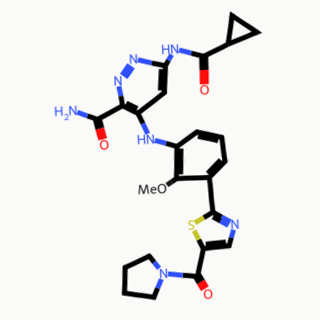 COc1c(Nc2cc(NC(=O)C3CC3)nnc2C(N)=O)cccc1-c1ncc(C(=O)N2CCCC2)s1